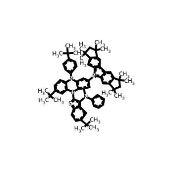 CC(C)(C)c1ccc(N2c3ccc(C(C)(C)C)cc3B3c4sc5ccc(C(C)(C)C)cc5c4N(c4ccccc4)c4cc(-n5c6cc7c(cc6c6cc8c(cc65)C(C)(C)CC8(C)C)C(C)(C)CC7(C)C)cc2c43)cc1